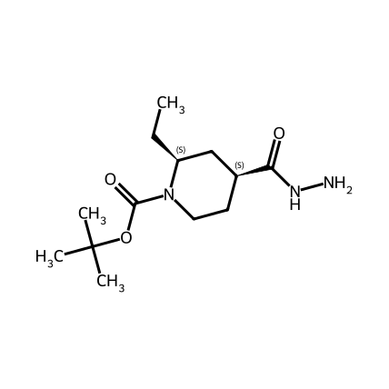 CC[C@H]1C[C@@H](C(=O)NN)CCN1C(=O)OC(C)(C)C